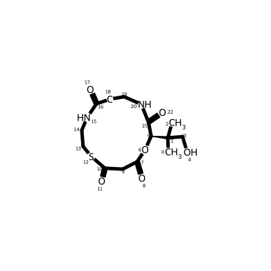 CC(C)(CO)[C@H]1OC(=O)CC(=O)SCCNC(=O)CCNC1=O